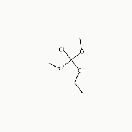 CCOC(Cl)(OC)OC